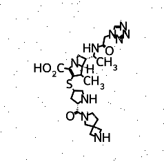 CC(NC(=O)Cn1cnnn1)[C@H]1CN2C(C(=O)O)=C(S[C@@H]3CN[C@H](C(=O)N4CCC5(CNC5)C4)C3)C(C)[C@H]12